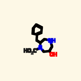 O=C(O)N1CC(O)CNCC1Cc1ccccc1